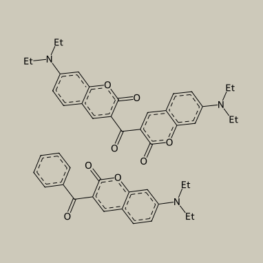 CCN(CC)c1ccc2cc(C(=O)c3cc4ccc(N(CC)CC)cc4oc3=O)c(=O)oc2c1.CCN(CC)c1ccc2cc(C(=O)c3ccccc3)c(=O)oc2c1